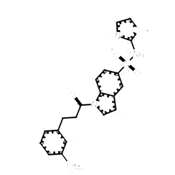 COc1cccc(CCC(=O)n2ccc3cc(S(=O)(=O)Nc4nccs4)ccc32)c1